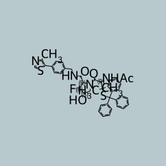 CC(=O)N[C@H](C(=O)N1C[C@H](O)[C@H](F)[C@H]1C(=O)NCc1ccc(-c2scnc2C)cc1)C(C)(C)SC(c1ccccc1)(c1ccccc1)c1ccccc1